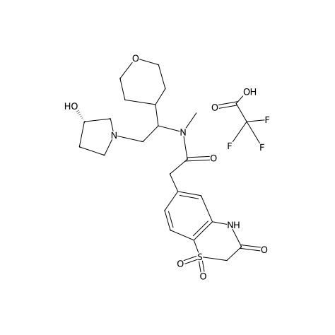 CN(C(=O)Cc1ccc2c(c1)NC(=O)CS2(=O)=O)C(CN1CC[C@H](O)C1)C1CCOCC1.O=C(O)C(F)(F)F